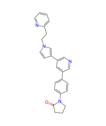 O=C1CCCN1c1ccc(-c2cncc(-c3ccn(CCc4ccccn4)c3)c2)cc1